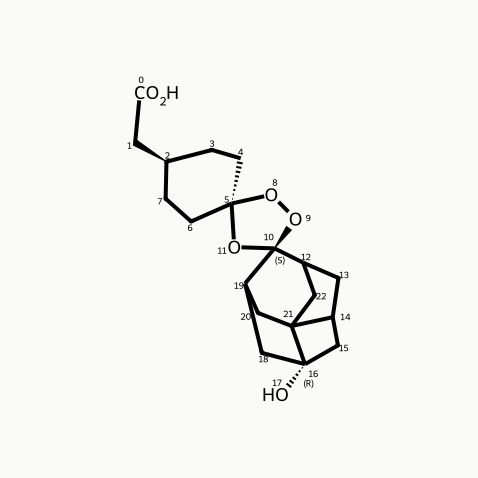 O=C(O)C[C@H]1CC[C@]2(CC1)OO[C@@]1(O2)C2CC3C[C@@]4(O)CC1CC34C2